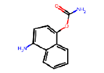 NC(=O)Oc1ccc(N)c2ccccc12